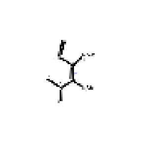 C=N/C(NC)=C(/NC)N(C)C